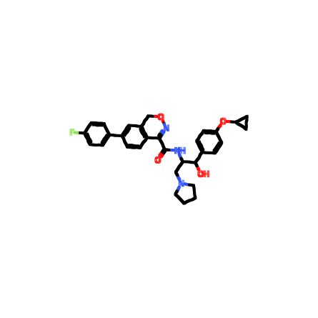 O=C(NC(CN1CCCC1)C(O)c1ccc(OC2CC2)cc1)C1=NOCc2cc(-c3ccc(F)cc3)ccc21